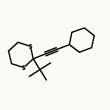 CC(C)(C)C1(C#CC2CCCCC2)SCCCS1